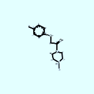 Cc1ccc(OCC(=O)N2CCN(C)CC2)cc1